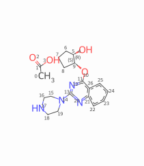 CC(=O)O.O[C@@H]1CCC[C@@H]1Oc1nc(N2CCNCC2)nc2ccccc12